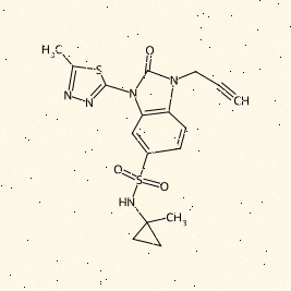 C#CCn1c(=O)n(-c2nnc(C)s2)c2cc(S(=O)(=O)NC3(C)CC3)ccc21